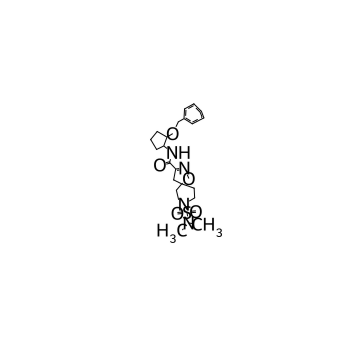 CN(C)S(=O)(=O)N1CCC2(CC1)CC(C(=O)NC1CCCC1OCc1ccccc1)=NO2